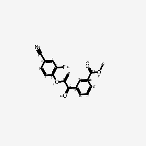 C=C(Oc1ccc(C#N)cc1F)C(=O)c1cccc(C(=O)OC)c1